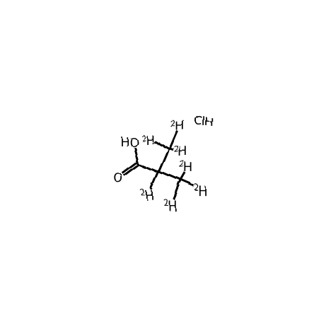 Cl.[2H]C([2H])([2H])C([2H])(C(=O)O)C([2H])([2H])[2H]